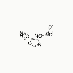 O.[Na+].[O-]BO.c1cocn1